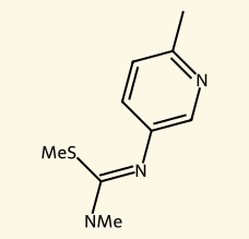 CNC(=Nc1ccc(C)nc1)SC